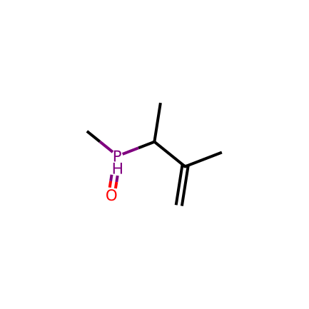 C=C(C)C(C)[PH](C)=O